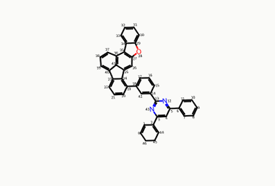 C1=CC(c2cc(-c3ccccc3)nc(-c3cccc(-c4cccc5c4-c4cc6oc7ccccc7c6c6cccc-5c46)c3)n2)=CCC1